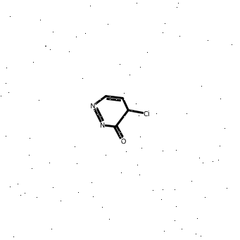 O=C1N=NC=CC1Cl